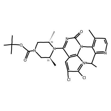 Cc1ccnc2c1-n1c(=O)nc(N3[C@@H](C)CN(C(=O)OC(C)(C)C)C[C@@H]3C)c3cc(Cl)c(Cl)[n+](c31)C2C